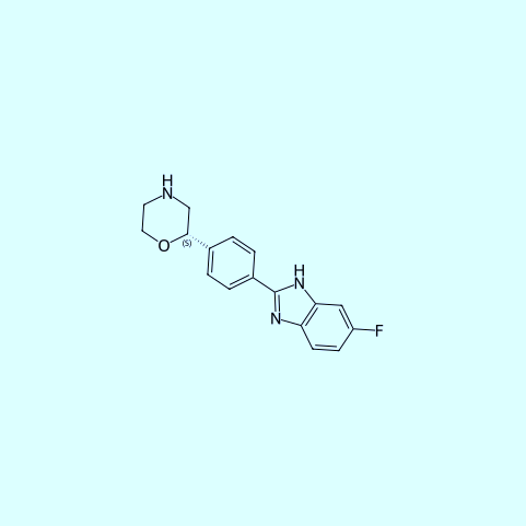 Fc1ccc2nc(-c3ccc([C@H]4CNCCO4)cc3)[nH]c2c1